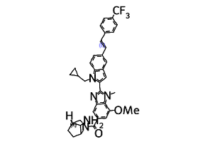 COc1cc(C(=O)N2C[C@H]3CCC2C3N)cc2nc(-c3cc4cc(/C=C/c5ccc(C(F)(F)F)cc5)ccc4n3CC3CC3)n(C)c12